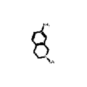 CCCN1CCc2ccc(N)cc2C1